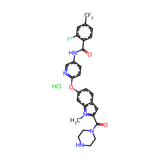 Cl.Cn1c(C(=O)N2CCNCC2)cc2ccc(Oc3ccc(NC(=O)c4ccc(C(F)(F)F)cc4F)cn3)cc21